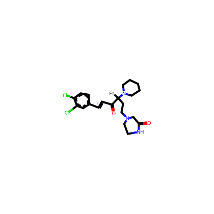 CCC(CCN1CCNC(=O)C1)(C(=O)/C=C/c1ccc(Cl)c(Cl)c1)N1CCCCC1